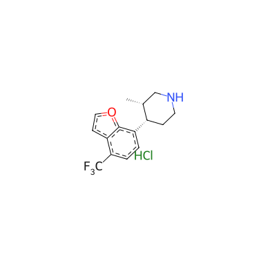 C[C@@H]1CNCC[C@@H]1c1ccc(C(F)(F)F)c2ccoc12.Cl